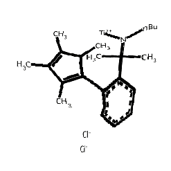 CCCC[N]([Ti+2])C(C)(C)c1ccccc1C1=C(C)C(C)=C(C)C1C.[Cl-].[Cl-]